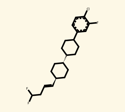 Fc1cc(C2CCC([C@H]3CC[C@H](/C=C/CC(F)F)CC3)CC2)ccc1Cl